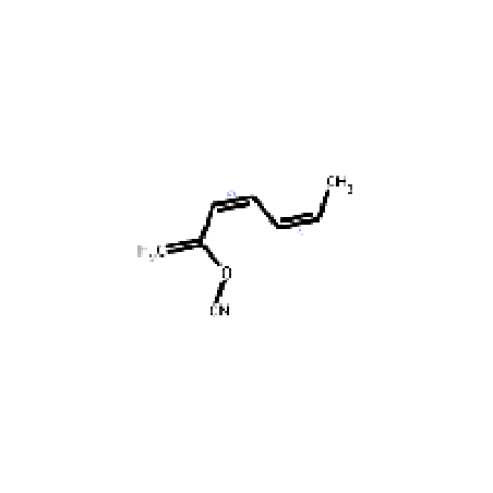 C=C(/C=C\C=C/C)OC#N